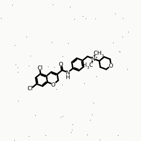 C[N+](C)(Cc1ccc(NC(=O)C2=Cc3c(Cl)cc(Cl)cc3OC2)cc1)C1CCOCC1